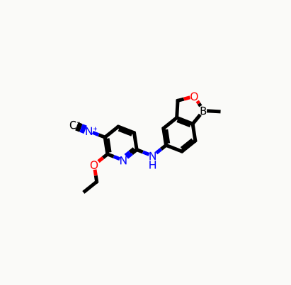 [C-]#[N+]c1ccc(Nc2ccc3c(c2)COB3C)nc1OCC